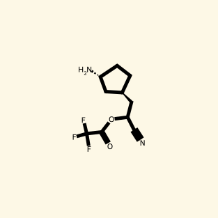 N#CC(C[C@@H]1CC[C@@H](N)C1)OC(=O)C(F)(F)F